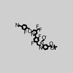 COCCn1c(Cc2cc(F)c(-c3cc(C(F)F)cc(OCc4ccc(C#N)cc4F)n3)cc2F)nc2ccc(C(=O)OC(C)(C)C)cc21